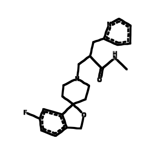 CNC(=O)C(Cc1ccccn1)CN1CCC2(CC1)OCc1ccc(F)cc12